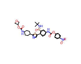 CC(C)(C)N[S+]([O-])c1cc(NC(=O)Oc2ccc([N+](=O)[O-])cc2)ccc1-c1cnc(C2CCC(NC(=O)OC3COC3)CC2)s1